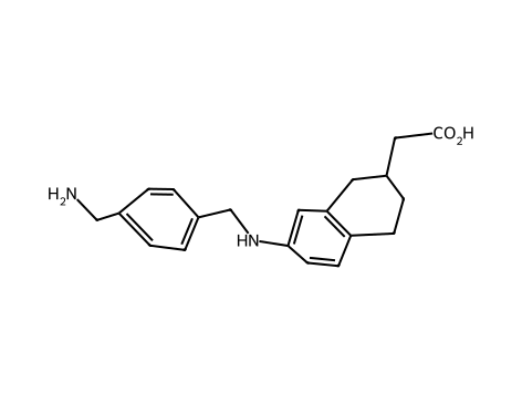 NCc1ccc(CNc2ccc3c(c2)CC(CC(=O)O)CC3)cc1